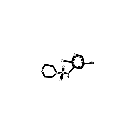 O=S(=O)(Nc1cc(Br)cnc1Cl)N1CCOCC1